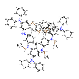 CSN1c2cc3c(cc2B2c4sc5ccccc5c4Sc4cc(N(c5ccccc5)c5ccccc5)cc1c42)B1c2cc4c(cc2N(SC)c2cc(N(c5ccccc5)c5ccccc5)cc(c21)N3SC)Nc1cc(N(c2ccccc2)c2ccccc2)cc2c1B4c1sc3ccccc3c1S2